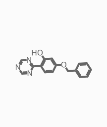 Oc1cc(OCc2ccccc2)ccc1-c1ncncn1